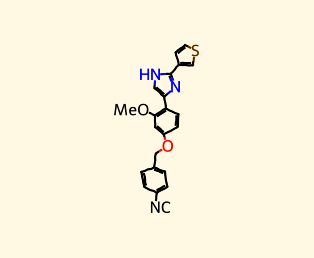 [C-]#[N+]c1ccc(COc2ccc(-c3c[nH]c(-c4ccsc4)n3)c(OC)c2)cc1